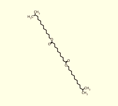 CC(C)CCCCCCCCCCOC(=O)CCCCCCCCC(=O)OCCCCCCCCCCC(C)C